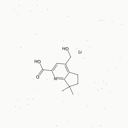 CC1(C)CCc2c(CO)cc(C(=O)O)nc21.[Li]